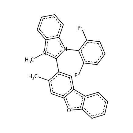 Cc1cc2oc3ccccc3c2cc1-c1n(-c2c(C(C)C)cccc2C(C)C)c2ccccc2[n+]1C